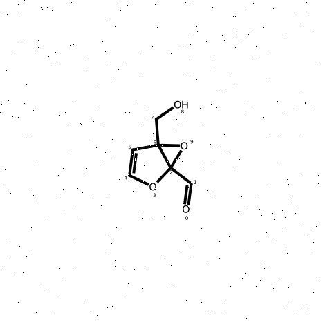 O=CC12OC=CC1(CO)O2